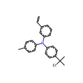 C=Cc1cccc(N(c2ccc(C)cc2)c2ccc(C(C)(C)CC)cc2)c1